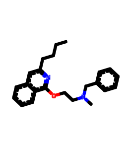 CCCCc1cc2ccccc2c(OCCN(C)Cc2ccccc2)n1